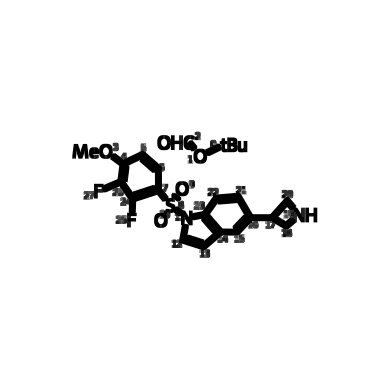 CC(C)(C)OC=O.COc1ccc(S(=O)(=O)n2ccc3cc(C4CNC4)ccc32)c(F)c1F